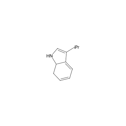 CC(C)C1=CNC2CC=CC=C12